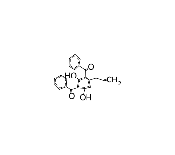 C=CCc1cc(O)c(C(=O)c2ccccc2)c(O)c1C(=O)c1ccccc1